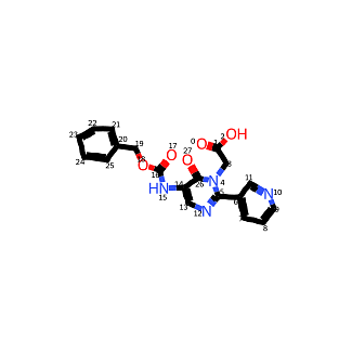 O=C(O)Cn1c(-c2cccnc2)ncc(NC(=O)OCc2ccccc2)c1=O